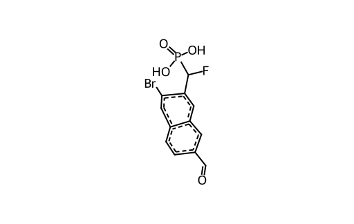 O=Cc1ccc2cc(Br)c(C(F)P(=O)(O)O)cc2c1